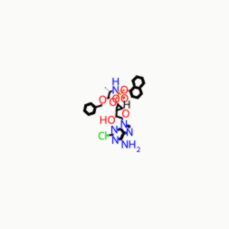 C[C@H](NP(=O)(Oc1cccc2ccccc12)OC1C2[C@@H]1O[C@@H](n1cnc3c(N)nc(Cl)nc31)[C@@H]2O)C(=O)OCc1ccccc1